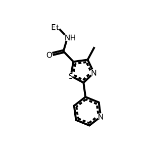 CCNC(=O)c1sc(-c2cccnc2)nc1C